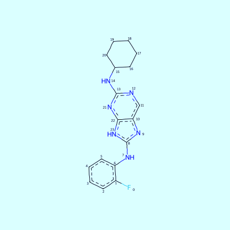 Fc1ccccc1Nc1nc2cnc(NC3CCCCC3)nc2[nH]1